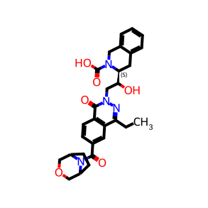 CCc1nn(CC(O)[C@@H]2Cc3ccccc3CN2C(=O)O)c(=O)c2ccc(C(=O)N3C4CCC3COC4)cc12